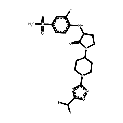 CS(=O)(=O)c1ccc(NC2CCN(C3CCN(c4noc(C(F)F)n4)CC3)C2=O)c(F)c1